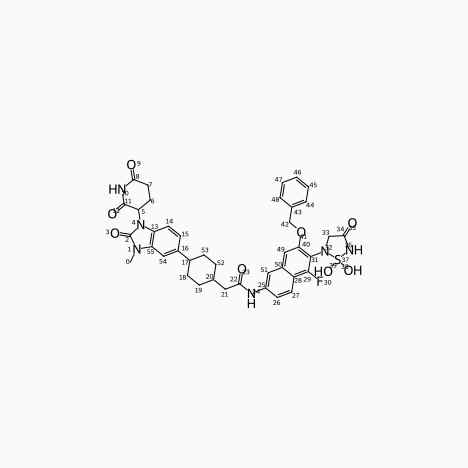 Cn1c(=O)n(C2CCC(=O)NC2=O)c2ccc(C3CCC(CC(=O)Nc4ccc5c(F)c(N6CC(=O)NS6(O)O)c(OCc6ccccc6)cc5c4)CC3)cc21